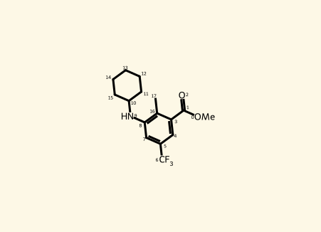 COC(=O)c1cc(C(F)(F)F)cc(NC2CCCCC2)c1C